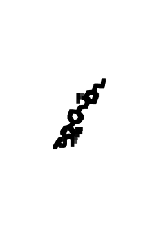 C/C=C/c1ccc(CCC2CCC(c3ccc(OCC)c(F)c3F)CC2)c(F)c1